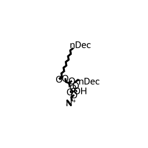 CCCCCCCCCCCCCCCCCCCCC(=O)OCC(COP(=O)(O)OCC[N+](C)(C)C)OC(=O)CCCCCCCCCCC